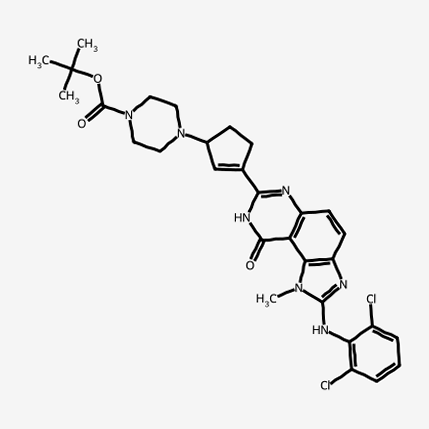 Cn1c(Nc2c(Cl)cccc2Cl)nc2ccc3nc(C4=CC(N5CCN(C(=O)OC(C)(C)C)CC5)CC4)[nH]c(=O)c3c21